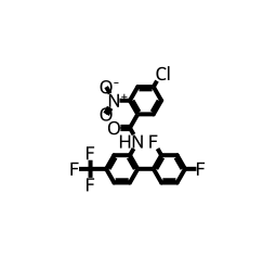 O=C(Nc1cc(C(F)(F)F)ccc1-c1ccc(F)cc1F)c1ccc(Cl)cc1[N+](=O)[O-]